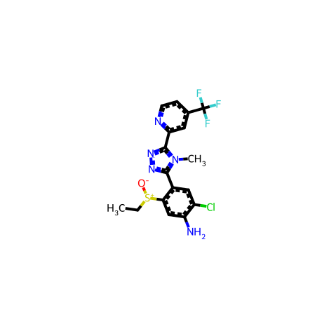 CC[S+]([O-])c1cc(N)c(Cl)cc1-c1nnc(-c2cc(C(F)(F)F)ccn2)n1C